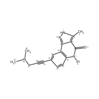 CCn1c(=O)c2c(C)[nH]nc2c2cc(C#CCN(C)C)ccc21